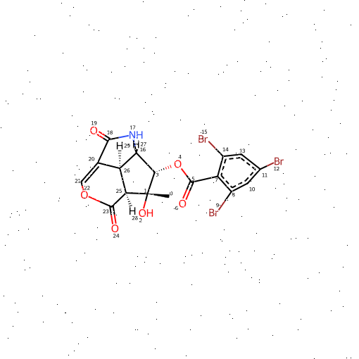 C[C@]1(O)[C@@H](OC(=O)c2c(Br)cc(Br)cc2Br)[C@H]2NC(=O)C3=COC(=O)[C@H]1[C@@H]32